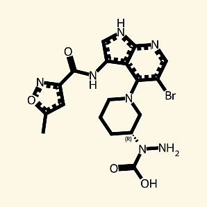 Cc1cc(C(=O)Nc2c[nH]c3ncc(Br)c(N4CCC[C@@H](N(N)C(=O)O)C4)c23)no1